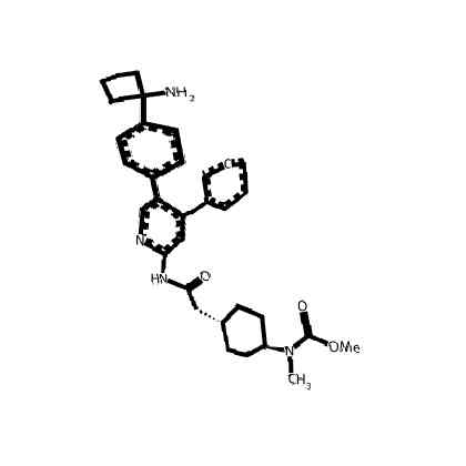 COC(=O)N(C)[C@H]1CC[C@H](CC(=O)Nc2cc(-c3ccccc3)c(-c3ccc(C4(N)CCC4)cc3)cn2)CC1